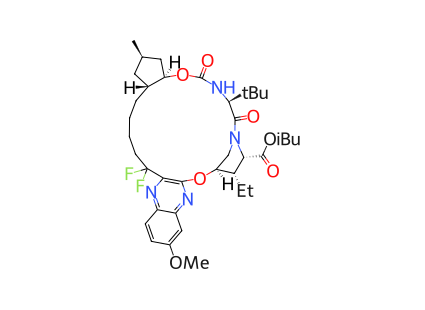 CC[C@@H]1[C@@H]2CN(C(=O)[C@H](C(C)(C)C)NC(=O)O[C@@H]3C[C@H](C)C[C@H]3CCCCC(F)(F)c3nc4ccc(OC)cc4nc3O2)[C@@H]1C(=O)OCC(C)C